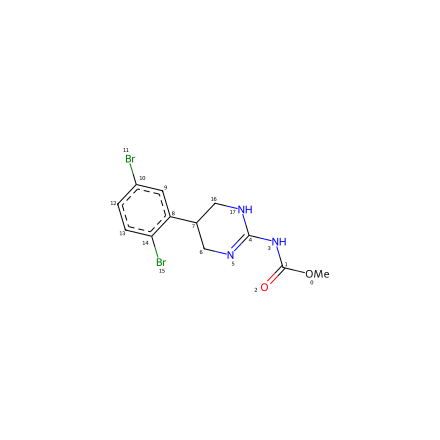 COC(=O)NC1=NCC(c2cc(Br)ccc2Br)CN1